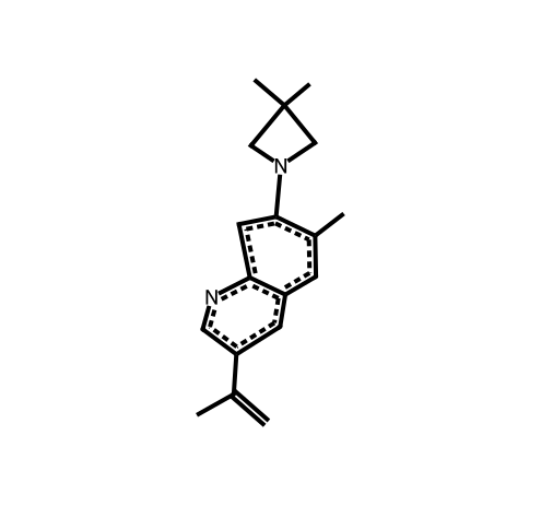 C=C(C)c1cnc2cc(N3CC(C)(C)C3)c(C)cc2c1